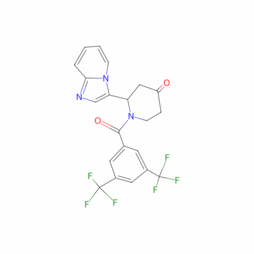 O=C1CCN(C(=O)c2cc(C(F)(F)F)cc(C(F)(F)F)c2)C(c2cnc3ccccn23)C1